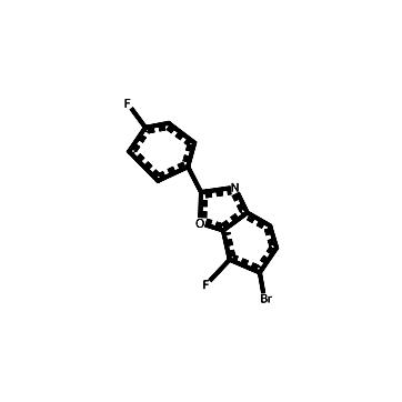 Fc1ccc(-c2nc3ccc(Br)c(F)c3o2)cc1